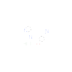 Cl.N#Cc1ccc2c(c1)C1CN(Cc3ccccn3)CC1CO2